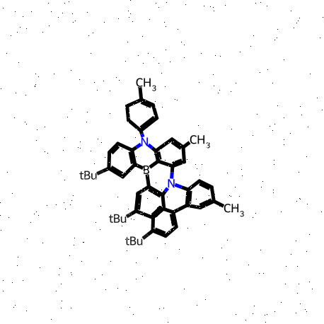 CC1=CC=C(N2c3ccc(C(C)(C)C)cc3B3c4cc(C(C)(C)C)ccc4N(c4ccc(C)cc4-c4ccc(C(C)(C)C)cc4)c4cc(C)cc2c43)CC1